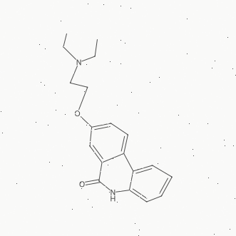 CCN(CC)CCOc1ccc2c(c1)c(=O)[nH]c1ccccc12